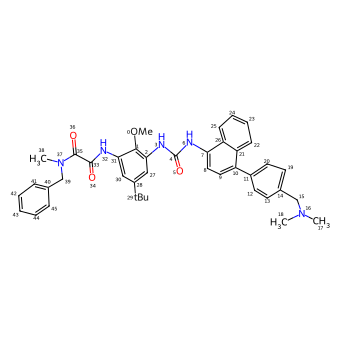 COc1c(NC(=O)Nc2ccc(-c3ccc(CN(C)C)cc3)c3ccccc23)cc(C(C)(C)C)cc1NC(=O)C(=O)N(C)Cc1ccccc1